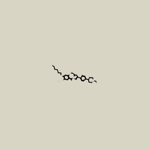 COc1cc2c(cc1OCCCCCBr)NC[C@@H]1CC(c3ccc(C4CCN(CC(F)(F)F)CC4)cc3)=CN1C2=O